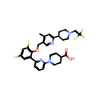 Cc1cc(C2CCN(CC(F)(F)F)CC2)ncc1COc1c(F)cc(F)cc1-c1cccc(N2CCC(C(=O)O)CC2)n1